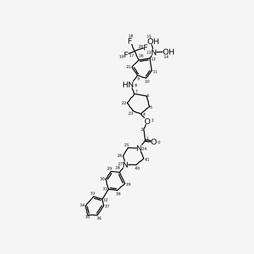 O=C(COC1CCC(Nc2ccc(N(O)O)c(C(F)(F)F)c2)CC1)N1CCN(c2ccc(-c3ccccc3)cc2)CC1